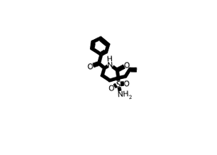 C=CCC1(S(N)(=O)=O)CCC(C(=O)c2ccccc2)NC1=O